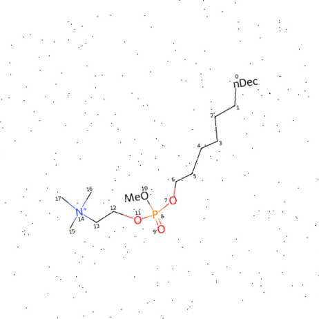 CCCCCCCCCCCCCCCCOP(=O)(OC)OCC[N+](C)(C)C